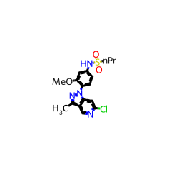 CCCS(=O)(=O)Nc1ccc(-n2nc(C)c3cnc(Cl)cc32)c(OC)c1